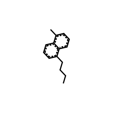 CCCCc1cccc2c(C)cccc12